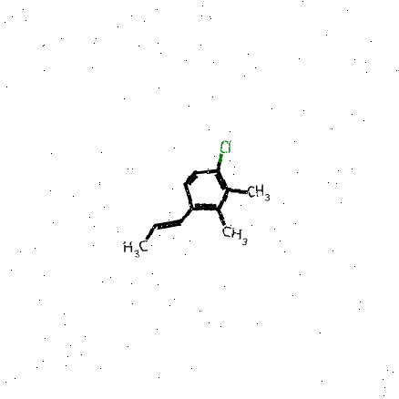 CC=Cc1ccc(Cl)c(C)c1C